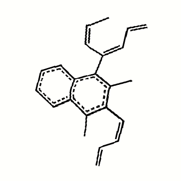 C=C/C=C\c1c(C)c(C(/C=C\C)=C/C=C)c2ccccc2c1C